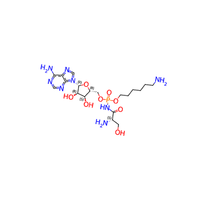 NCCCCCCOP(=O)(NC(=O)[C@@H](N)CO)OC[C@H]1O[C@@H](n2cnc3c(N)ncnc32)[C@H](O)[C@@H]1O